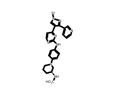 CCn1cc(-c2ccnc(Nc3ccc(N4CCC[C@H](NC(=O)O)C4)cc3)n2)c(-c2cccnc2)n1